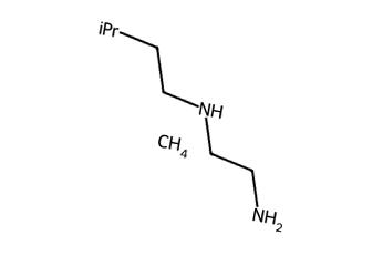 C.CC(C)CCNCCN